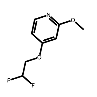 COc1cc(OCC(F)F)ccn1